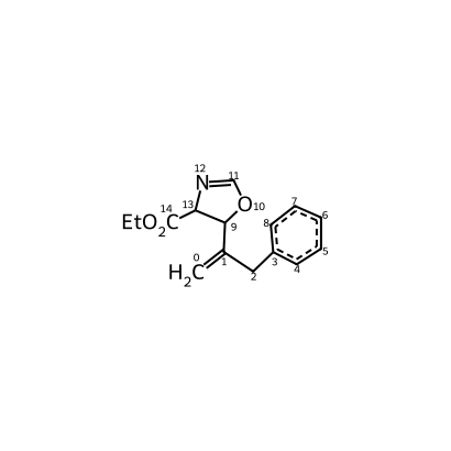 C=C(Cc1ccccc1)C1OC=NC1C(=O)OCC